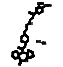 COc1ccc(C(=O)CCNCCCC2CCN(CC(=O)N3c4ccccc4C(=O)Nc4cccnc43)CC2)cc1OC.Cl.Cl